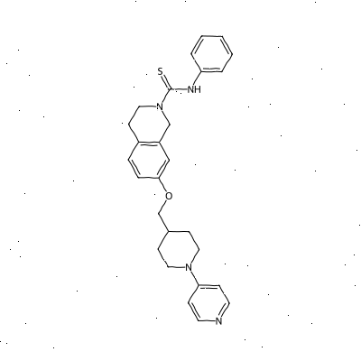 S=C(Nc1ccccc1)N1CCc2ccc(OCC3CCN(c4ccncc4)CC3)cc2C1